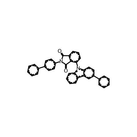 O=C1c2cccc(-n3c4ccccc4c4cc(-c5ccccc5)ccc43)c2C(=O)N1c1ccc(-c2ccccc2)cc1